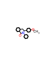 COc1ccc(C2Cc3ccccc3C(=O)N2c2ccccc2)cc1